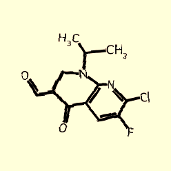 CC(C)N1CC(C=O)C(=O)c2cc(F)c(Cl)nc21